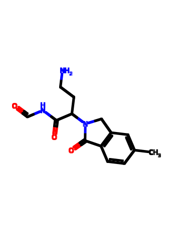 Cc1ccc2c(c1)CN(C(CCN)C(=O)NC=O)C2=O